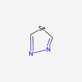 c1nnc[se]1